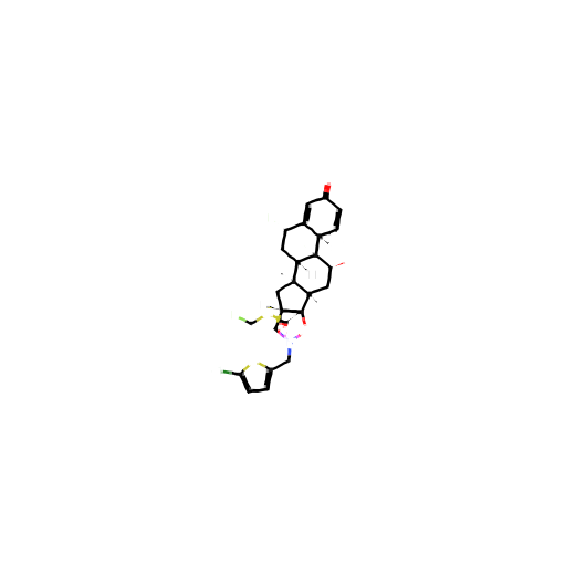 C[C@]12C=CC(=O)C=C1[C@@H](F)C[C@H]1[C@@H]3C[C@H]4CN(Cc5ccc(Cl)s5)O[C@@]4(C(=O)SCF)[C@@]3(C)C[C@H](O)[C@@]12F